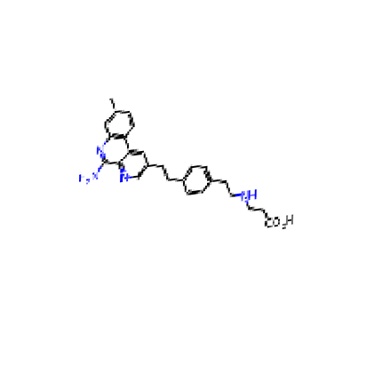 Cc1ccc2c(c1)nc(N)c1ncc(CCc3ccc(CCNCCC(=O)O)cc3)cc12